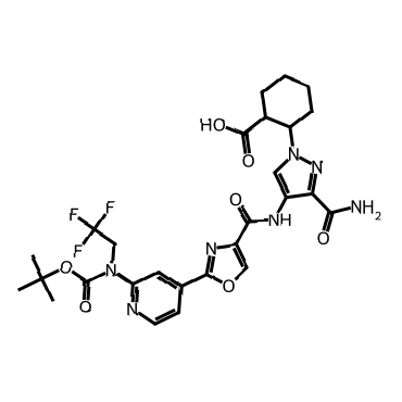 CC(C)(C)OC(=O)N(CC(F)(F)F)c1cc(-c2nc(C(=O)Nc3cn(C4CCCCC4C(=O)O)nc3C(N)=O)co2)ccn1